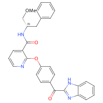 COC[C@H](Cc1ccccc1)NC(=O)c1cccnc1Oc1ccc(C(=O)c2nc3ccccc3[nH]2)cc1